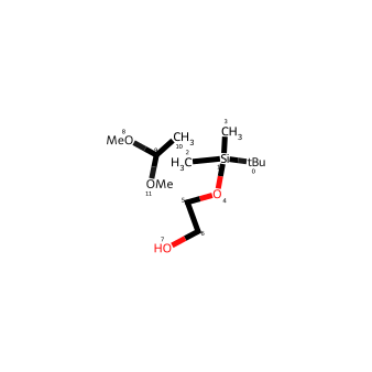 CC(C)(C)[Si](C)(C)OCCO.COC(C)OC